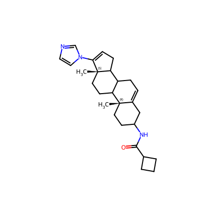 C[C@]12CCC(NC(=O)C3CCC3)CC1=CCC1C2CC[C@]2(C)C(n3ccnc3)=CCC12